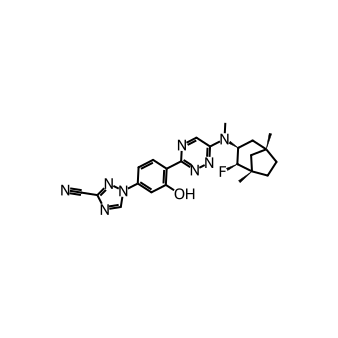 CN(c1cnc(-c2ccc(-n3cnc(C#N)n3)cc2O)nn1)[C@H]1C[C@]2(C)CC[C@@](C)(C2)[C@H]1F